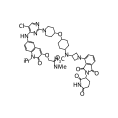 CNC(=O)COc1cc2cc(Nc3nc(N4CCC(OC5CCC(N(C)C6CN(c7cccc8c7C(=O)N(C7CCC(=O)NC7=O)C8=O)C6)CC5)CC4)ncc3Cl)ccc2n(C(C)C)c1=O